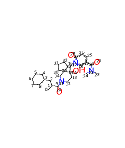 CC(CC1CCCCC1)C(=O)N1CCC(O)(Cn2cc(C(=O)N(C)C)ccc2=O)C2(CCCC2)C1